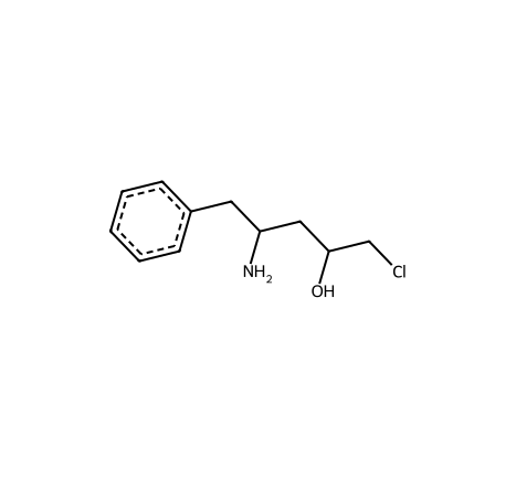 NC(Cc1ccccc1)CC(O)CCl